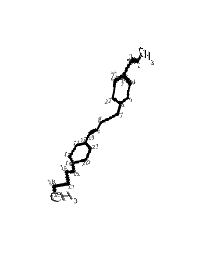 CC=CC1CCC(CCC=CC2CCC(CCCCC)CC2)CC1